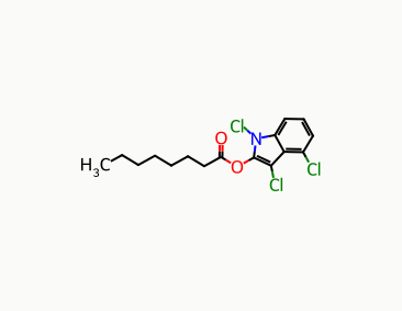 CCCCCCCC(=O)Oc1c(Cl)c2c(Cl)cccc2n1Cl